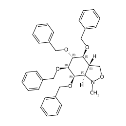 CN1OC[C@H]2[C@H](OCc3ccccc3)[C@@H](OCc3ccccc3)[C@H](OCc3ccccc3)[C@H](OCc3ccccc3)[C@@H]21